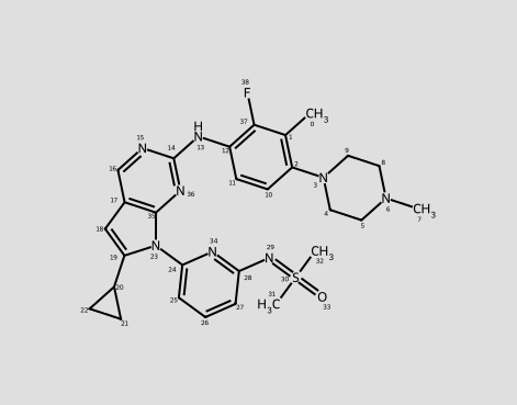 Cc1c(N2CCN(C)CC2)ccc(Nc2ncc3cc(C4CC4)n(-c4cccc(N=S(C)(C)=O)n4)c3n2)c1F